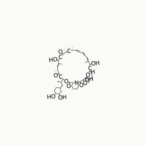 C/C1=C\[C@@H](C)C(=O)C[C@@H]([C@H](C)C[C@@H]2CC[C@@H](O)[C@H](O)C2)OC(=O)C2CCCCN2C(=O)C(=O)[C@]2(O)O[C@@H](CC[C@H]2C)C[C@H](O)/C(C)=C/C=C/C=C/[C@@H](C)C[C@@H](C)C(=O)C[C@@H]1O